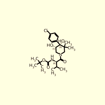 CC(C)[C@@H](NC(=O)OC(C)(C)C)C(=O)N1C[C@H](O)[C@@](O)(c2ccc(Cl)cc2)C(C)(C)C1